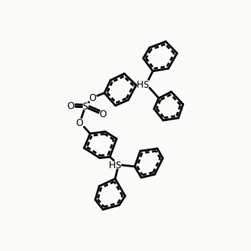 O=S(=O)(Oc1ccc([SH](c2ccccc2)c2ccccc2)cc1)Oc1ccc([SH](c2ccccc2)c2ccccc2)cc1